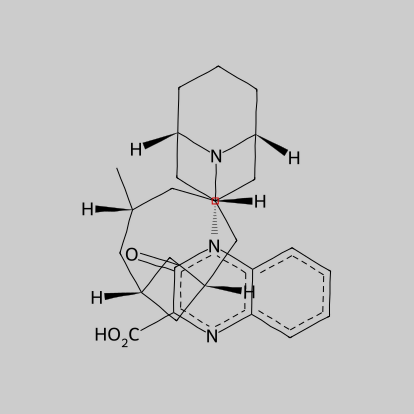 C[C@@H]1C[C@H](N2[C@@H]3CCC[C@H]2C[C@@H](n2c(=O)c(C(=O)O)nc4ccccc42)C3)C[C@H]2C[C@@H](C1)C2